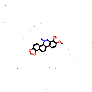 COc1ccc2c(c[n+](C)c3c4ccc5c(c4ccc23)OCO5)c1O